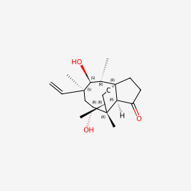 C=C[C@]1(C)C[C@@H](O)[C@]2(C)[C@H](C)CC[C@@]3(CCC(=O)[C@H]32)[C@@H](C)[C@@H]1O